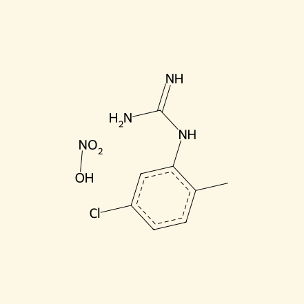 Cc1ccc(Cl)cc1NC(=N)N.O=[N+]([O-])O